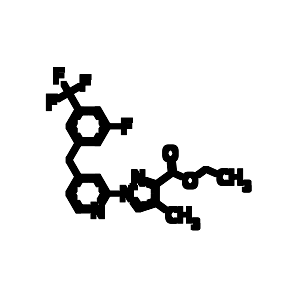 CCOC(=O)c1nn(-c2cc(Cc3cc(F)cc(C(F)(F)F)c3)ccn2)cc1C